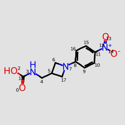 O=C(O)NCC1CN(c2ccc([N+](=O)[O-])cc2)C1